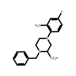 Cc1cc(F)ccc1N1CCN(Cc2ccccc2)C(C(=O)O)C1